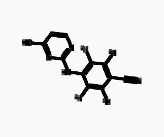 [2H]c1c([2H])c(Nc2nccc(O)n2)c([2H])c([2H])c1C#N